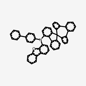 c1ccc(-c2ccc(N(c3cccc4c3-c3ccccc3C43c4ccccc4-c4ccccc4-c4ccccc43)c3cccc4c3oc3ccccc34)cc2)cc1